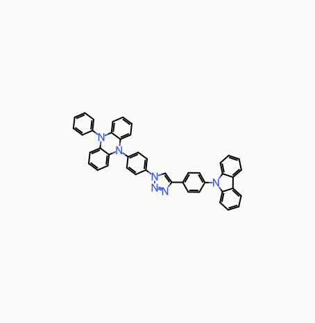 c1ccc(N2c3ccccc3N(c3ccc(-n4cc(-c5ccc(-n6c7ccccc7c7ccccc76)cc5)nn4)cc3)c3ccccc32)cc1